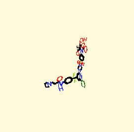 O=C(CCN1CCCC1)NC1CCC(C(F)(F)c2cc(Cl)nc(N3CCN(S(=O)(=O)c4ccc5c(c4)OC[C@@H]4[C@H](CO)OC(=O)N54)CC3)c2)CC1